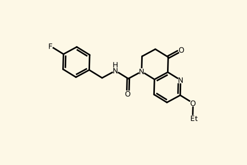 CCOc1ccc2c(n1)C(=O)CCN2C(=O)NCc1ccc(F)cc1